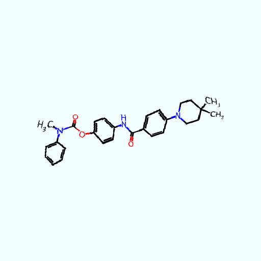 CN(C(=O)Oc1ccc(NC(=O)c2ccc(N3CCC(C)(C)CC3)cc2)cc1)c1ccccc1